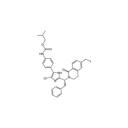 CC(C)COC(=O)Nc1ccc(-c2[nH]c([C@H](Cc3ccccc3)N3CCc4cc(CI)ccc4C3=O)nc2Cl)cc1